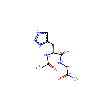 CC(=O)N[C@@H](Cc1c[nH]cn1)C(=O)NCC(N)=O